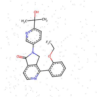 CC(C)(O)c1ccc(N2Cc3c(ccnc3-c3ccccc3OCC(F)(F)F)C2=O)cn1